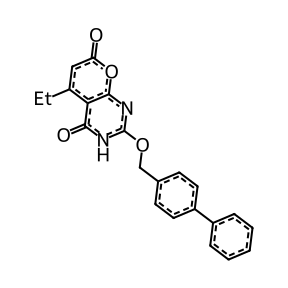 CCc1cc(=O)oc2nc(OCc3ccc(-c4ccccc4)cc3)[nH]c(=O)c12